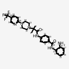 CC(C)(C(=O)Nc1ccc(C(=O)Nc2ccccc2N)cc1)N1CCN(c2ccc(C(F)(F)F)cn2)CC1